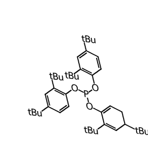 CC(C)(C)C1=CC(C(C)(C)C)CC=C1OP(Oc1ccc(C(C)(C)C)cc1C(C)(C)C)Oc1ccc(C(C)(C)C)cc1C(C)(C)C